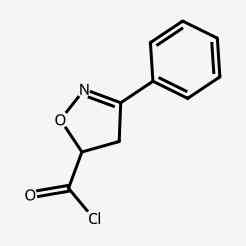 O=C(Cl)C1CC(c2ccccc2)=NO1